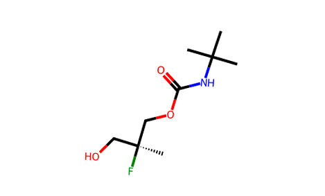 CC(C)(C)NC(=O)OC[C@@](C)(F)CO